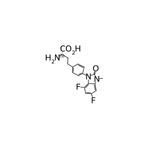 Cn1c(=O)n(-c2ccc(CC[C@H](N)C(=O)O)cc2)c2c(F)cc(F)cc21